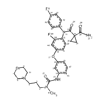 CN(CCCN1CCOCC1)C(=O)Nc1cc(Oc2ccc(N(C(=O)C3(C(N)=O)CC3)c3ccc(F)cc3)c(F)c2)ccn1